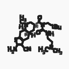 CN(C)CCNC(=O)N(CC(C)(C)C)C(=O)[C@@H]1C[C@@H]2Cc3c(sc(N)c3C#N)C[C@H]2N(C)C1